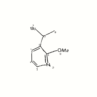 COc1ncccc1C(C)C(C)(C)C